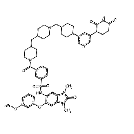 CCCOc1cccc(Oc2cc3c(cc2NS(=O)(=O)c2cccc(C(=O)N4CCC(CC5CCN(CC6CCN(c7cncc(C8CCC(=O)NC8=O)c7)CC6)CC5)CC4)c2)n(C)c(=O)n3C)c1